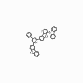 c1ccc(-c2cc(-c3ccc4oc5ccccc5c4c3)nc(-c3ccc4oc5c(-n6c7ccccc7c7ccccc76)ccnc5c4c3)c2)cc1